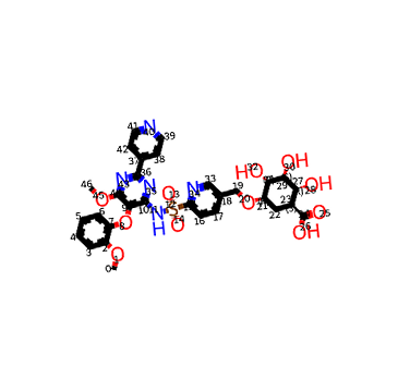 COc1ccccc1Oc1c(NS(=O)(=O)c2ccc(CO[C@@H]3C[C@H](C(=O)O)[C@@H](O)[C@H](O)[C@H]3O)cn2)nc(-c2ccncc2)nc1OC